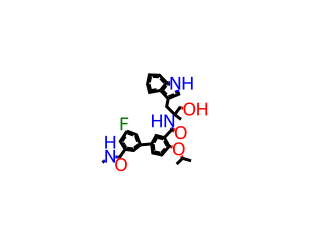 CNC(=O)c1cc(F)cc(-c2ccc(OC(C)C)c(C(=O)NC(C)(CO)Cc3c[nH]c4ccccc34)c2)c1